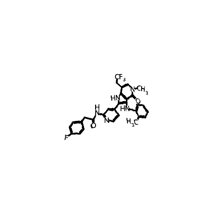 Cc1ccccc1Nc1c(-c2ccnc(NC(=O)Cc3ccc(F)cc3)c2)[nH]c2c(CC(F)(F)F)cn(C)c(=O)c12